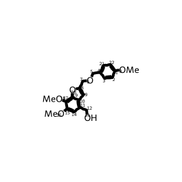 COc1ccc(COCc2cc3c(CO)cc(OC)c(OC)c3o2)cc1